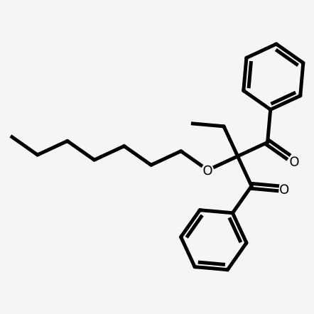 CCCCCCCOC(CC)(C(=O)c1ccccc1)C(=O)c1ccccc1